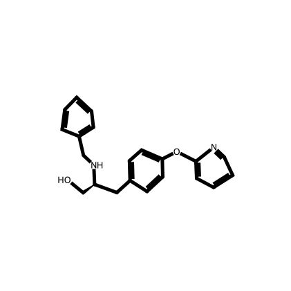 OC[C@H](Cc1ccc(Oc2ccccn2)cc1)NCc1ccccc1